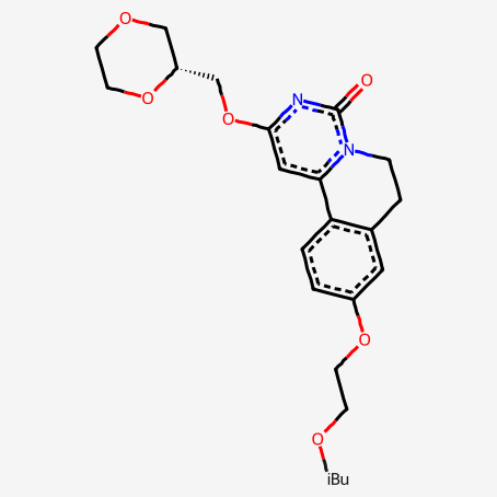 CCC(C)OCCOc1ccc2c(c1)CCn1c-2cc(OC[C@H]2COCCO2)nc1=O